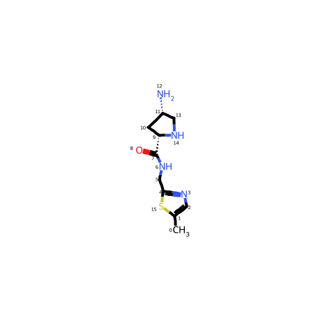 Cc1cnc(CNC(=O)[C@@H]2C[C@H](N)CN2)s1